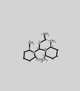 C[C@@H]1CCC[C@H](C)N1C(OC[SiH3])N1[C@H](C)CCC[C@@H]1C